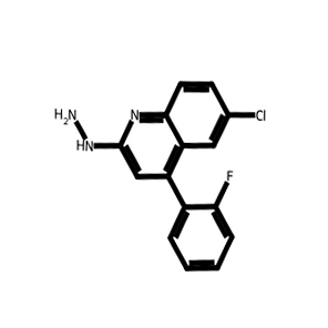 NNc1cc(-c2ccccc2F)c2cc(Cl)ccc2n1